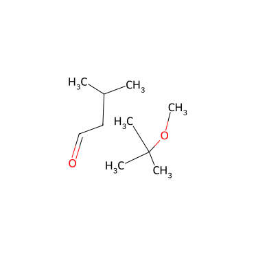 CC(C)CC=O.COC(C)(C)C